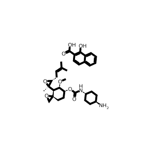 CO[C@@H]1[C@H](OC(=O)N[C@H]2CC[C@H](N)CC2)CC[C@]2(CO2)[C@H]1[C@@]1(C)O[C@@H]1CC=C(C)C.O=C(O)c1ccc2ccccc2c1O